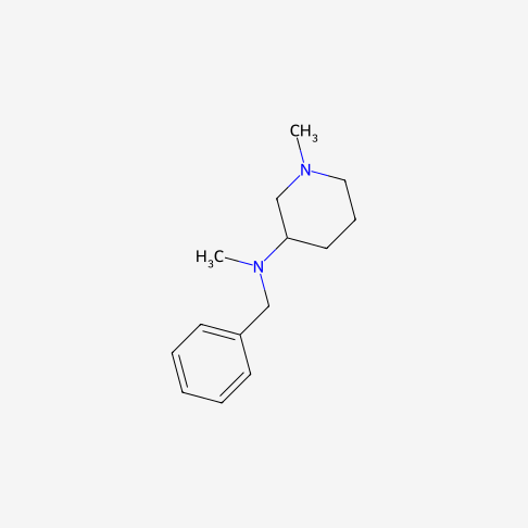 CN1CCCC(N(C)Cc2ccccc2)C1